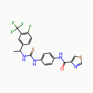 CC(NC(=S)Nc1ccc(NC(=O)c2cscn2)cc1)c1ccc(F)c(C(F)(F)F)c1